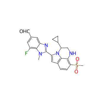 Cn1c(-c2cc3ccc(S(C)(=O)=O)c4c3n2C(C2CC2)CN4)nc2cc(C=O)cc(F)c21